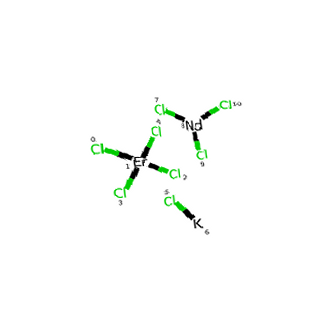 [Cl][Er]([Cl])([Cl])[Cl].[Cl][K].[Cl][Nd]([Cl])[Cl]